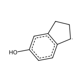 Oc1ccc2c(c1)CC[CH]2